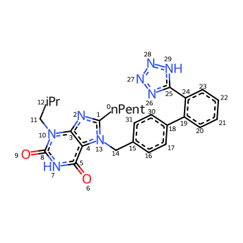 CCCCCc1nc2c(c(=O)[nH]c(=O)n2CC(C)C)n1Cc1ccc(-c2ccccc2-c2nnn[nH]2)cc1